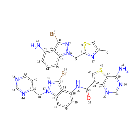 Cc1csc(Cn2nc(Br)c3c(N)cccc32)n1.Nc1ncnc2c(C(=O)Nc3cccc4c3c(Br)nn4Cc3ccncn3)csc12